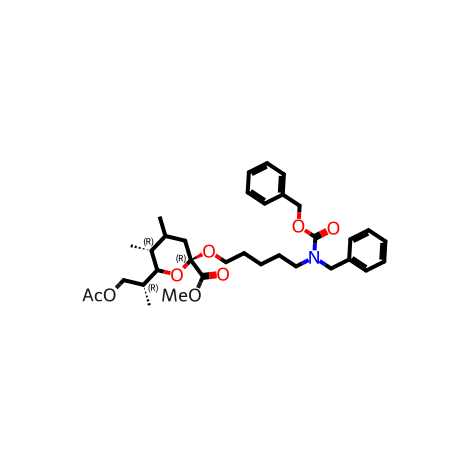 COC(=O)[C@@]1(OCCCCCN(Cc2ccccc2)C(=O)OCc2ccccc2)CC(C)[C@@H](C)C([C@H](C)COC(C)=O)O1